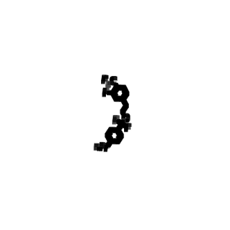 CCCc1ccc(C(F)(F)OCCc2ccc(C(F)(F)F)c(F)c2)cc1